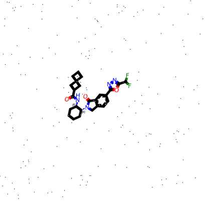 O=C(N[C@@H]1CCCC[C@H]1N1Cc2ccc(-c3nnc(C(F)F)o3)cc2C1=O)C1CC2(CCC2)C1